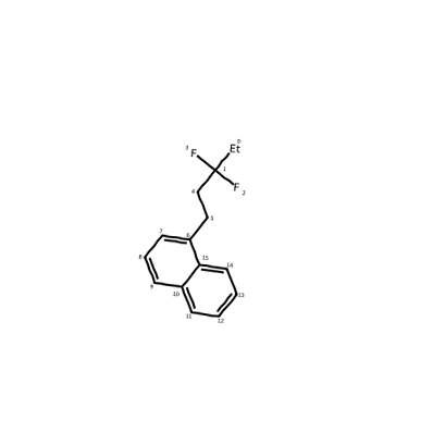 [CH2]CC(F)(F)CCc1cccc2ccccc12